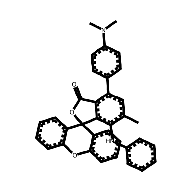 Cc1cc(-c2ccc(N(C)C)cc2)c2c(c1Nc1ccccc1)C1(OC2=O)c2ccccc2Oc2ccccc21